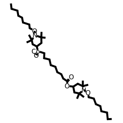 CCCCCCCCON1C(C)(C)CC(OC(=O)CCCCCCC[CH2][Co](=[O])[CH]2CC(C)(C)N(OCCCCCCCC)C(C)(C)C2)CC1(C)C